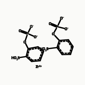 O=P([O-])([O-])Oc1ccccc1S(=O)(=O)O.O=P([O-])([O-])Oc1ccccc1S(=O)(=O)O.[Zr+4]